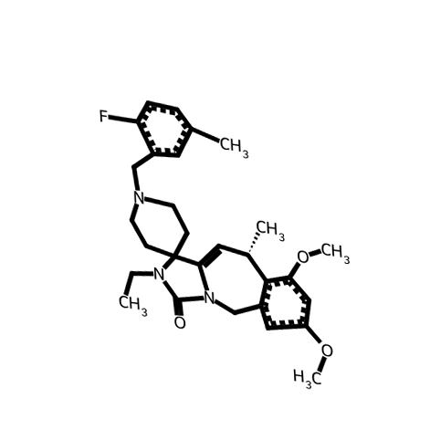 CCN1C(=O)N2Cc3cc(OC)cc(OC)c3[C@@H](C)C=C2C12CCN(Cc1cc(C)ccc1F)CC2